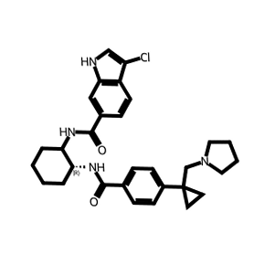 O=C(NC1CCCC[C@H]1NC(=O)c1ccc(C2(CN3CCCC3)CC2)cc1)c1ccc2c(Cl)c[nH]c2c1